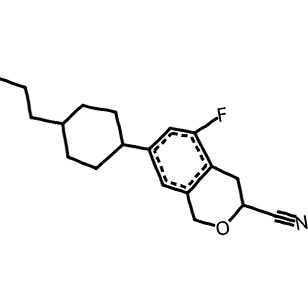 CCCC1CCC(c2cc(F)c3c(c2)COC(C#N)C3)CC1